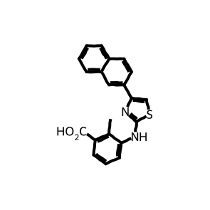 Cc1c(Nc2nc(-c3ccc4ccccc4c3)cs2)cccc1C(=O)O